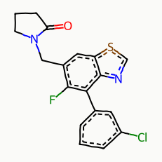 O=C1CCCN1Cc1cc2scnc2c(-c2cccc(Cl)c2)c1F